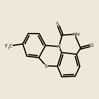 O=c1[nH]c(=S)n2c3c(cccc13)Sc1cc(C(F)(F)F)ccc1-2